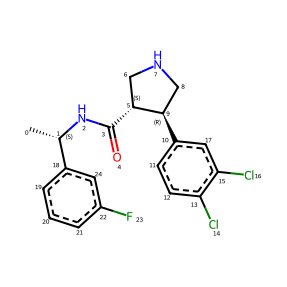 C[C@H](NC(=O)[C@@H]1CNC[C@H]1c1ccc(Cl)c(Cl)c1)c1cccc(F)c1